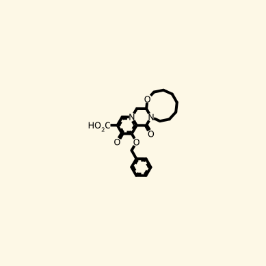 O=C(O)c1cn2c(c(OCc3ccccc3)c1=O)C(=O)N1CCCCCCCOC1C2